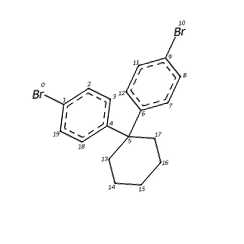 Brc1ccc(C2(c3ccc(Br)cc3)CCCCC2)cc1